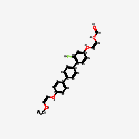 CO/C=C\Oc1ccc(-c2ccc(-c3ccc(O/C=C\OC=O)cc3F)cc2)cc1